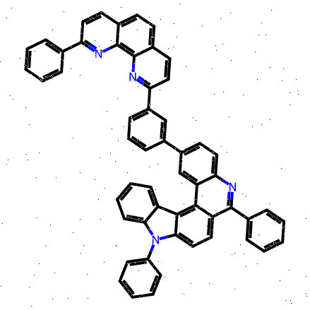 c1ccc(-c2ccc3ccc4ccc(-c5cccc(-c6ccc7nc(-c8ccccc8)c8ccc9c(c%10ccccc%10n9-c9ccccc9)c8c7c6)c5)nc4c3n2)cc1